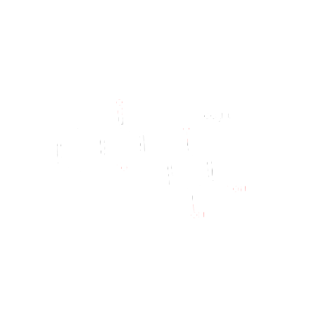 CCOC(=O)Oc1cc(O)c(O)cc1-c1cc(=O)c2ccccc2o1